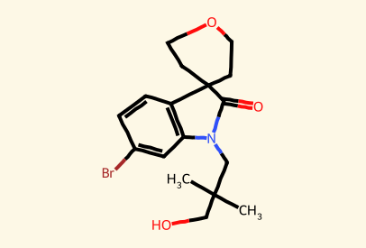 CC(C)(CO)CN1C(=O)C2(CCOCC2)c2ccc(Br)cc21